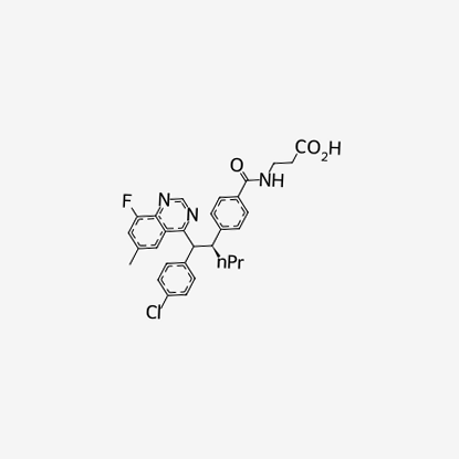 CCC[C@H](c1ccc(C(=O)NCCC(=O)O)cc1)C(c1ccc(Cl)cc1)c1ncnc2c(F)cc(C)cc12